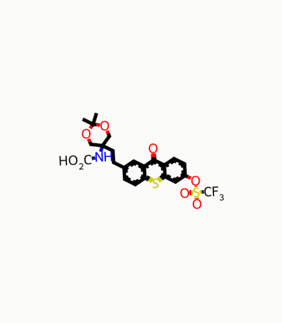 CC1(C)OCC(CCc2ccc3sc4cc(OS(=O)(=O)C(F)(F)F)ccc4c(=O)c3c2)(NC(=O)O)CO1